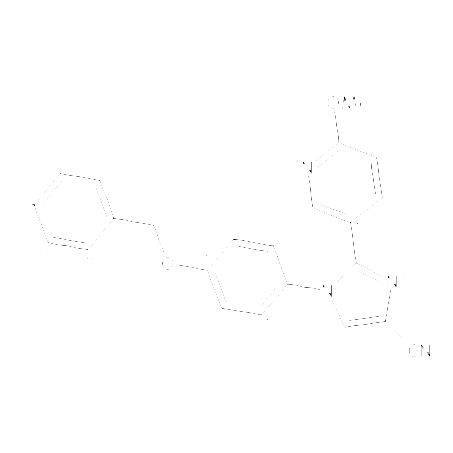 COc1ccc(-c2nc(C#N)cn2-c2ccc(OCc3ccccc3)cc2)cn1